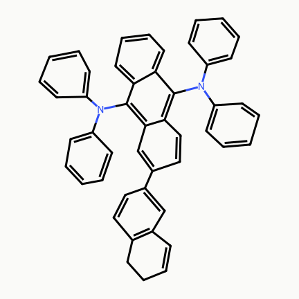 C1=Cc2cc(-c3ccc4c(N(c5ccccc5)c5ccccc5)c5ccccc5c(N(c5ccccc5)c5ccccc5)c4c3)ccc2CC1